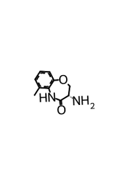 Cc1cccc2c1NC(=O)[C@@H](N)CO2